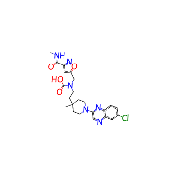 CNC(=O)c1cc(CN(CCC2(C)CCN(c3cnc4cc(Cl)ccc4n3)CC2)C(=O)O)on1